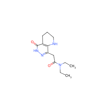 CCN(CC)C(=O)Cc1n[nH]c(=O)c2c1NCCC2